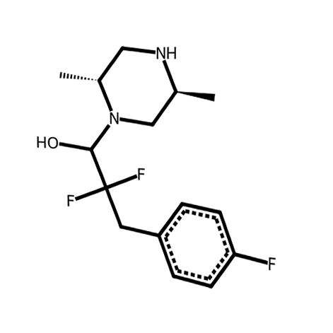 C[C@@H]1CN[C@@H](C)CN1C(O)C(F)(F)Cc1ccc(F)cc1